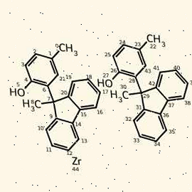 Cc1ccc(O)c(C2(C)c3ccccc3-c3ccccc32)c1.Cc1ccc(O)c(C2(C)c3ccccc3-c3ccccc32)c1.[Zr]